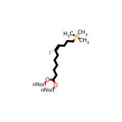 CCCCCCCCCOC(CCCCC/C=C\CCC[P+](C)(C)C)OCCCCCCCCC.[I-]